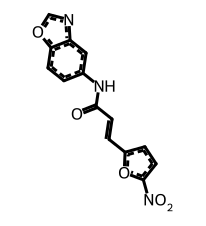 O=C(/C=C/c1ccc([N+](=O)[O-])o1)Nc1ccc2ocnc2c1